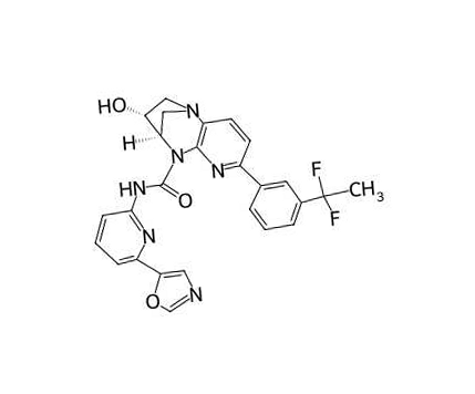 CC(F)(F)c1cccc(-c2ccc3c(n2)N(C(=O)Nc2cccc(-c4cnco4)n2)[C@@H]2CN3C[C@H]2O)c1